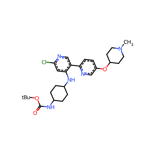 CN1CCC(Oc2ccc(-c3cnc(Cl)cc3NC3CCC(NC(=O)OC(C)(C)C)CC3)nc2)CC1